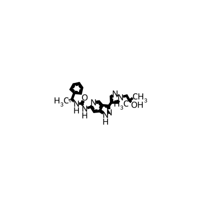 C[C@@H](NC(=O)Nc1cc2[nH]nc(-c3cnn(CC(C)(C)O)c3)c2cn1)c1ccccc1